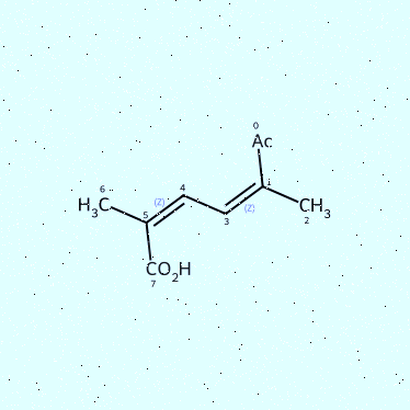 CC(=O)/C(C)=C\C=C(\C)C(=O)O